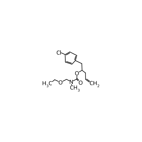 C=CCC(Cc1ccc(Cl)cc1)OC(=O)N(C)COCC